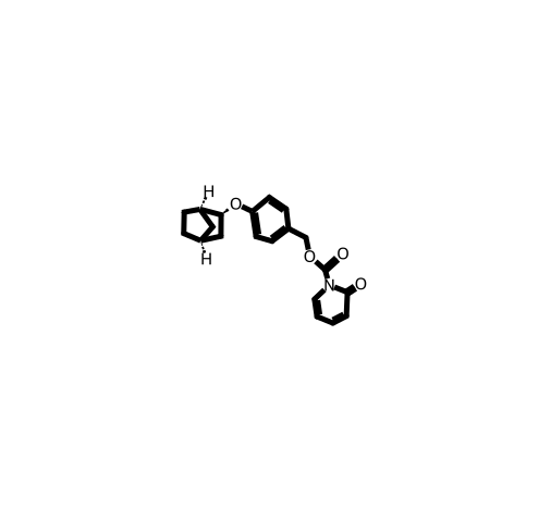 O=C(OCc1ccc(O[C@@H]2C[C@H]3CC[C@@H]2C3)cc1)n1ccccc1=O